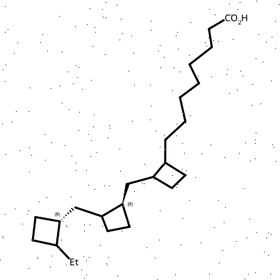 CCC1CC[C@@H]1CC1CC[C@@H]1CC1CCC1CCCCCCCC(=O)O